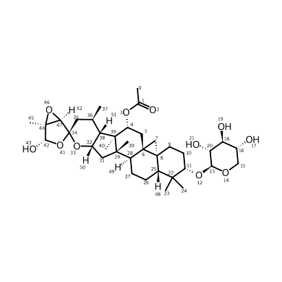 CC(=O)O[C@@H]1C[C@@]23C[C@@]24CC[C@H](O[C@@H]2OC[C@@H](O)[C@H](O)[C@H]2O)C(C)(C)[C@@H]4CC[C@H]3[C@]2(C)C[C@@H]3O[C@]4(C[C@@H](C)[C@@H]3[C@@]12C)O[C@H](O)[C@@]1(C)O[C@@H]41